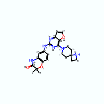 CC1(C)Oc2ccc(Nc3nc(N4CCC5(CCN5)CC4)c4occc4n3)cc2NC1=O